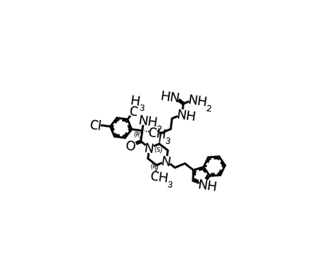 Cc1cc(Cl)ccc1[C@@](C)(N)C(=O)N1C[C@@H](C)N(CCc2c[nH]c3ccccc23)C[C@@H]1CCCNC(=N)N